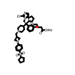 CCc1nccn1C[C@@](c1cccc(F)c1)(C1CCN(CC2CN(c3ccc(S(=O)(=O)C4CCCC4)cc3)C2)CC1)[C@H]1CCC[C@@H]1CCCCC(=O)OC